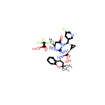 CC[C@]1(C)CC(=O)N(C(c2cncc(F)c2)[C@@H]2C[C@H]2C(=O)N[C@@H]2c3ccccc3OC(C)(C)[C@H]2O)C(=N)N1.O=C(O)C(F)(F)F